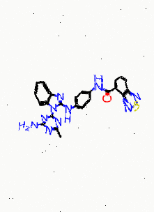 Cc1nc(N)nc(-n2c(Nc3ccc(NC(=O)c4cccc5nsnc45)cc3)nc3ccccc32)n1